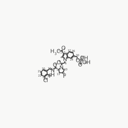 CC(=O)c1cn(CC(=O)N2C[C@H](F)C[C@H]2C(=O)NCc2cccc(Cl)c2F)c2cc(COP(=O)(O)O)ccc12